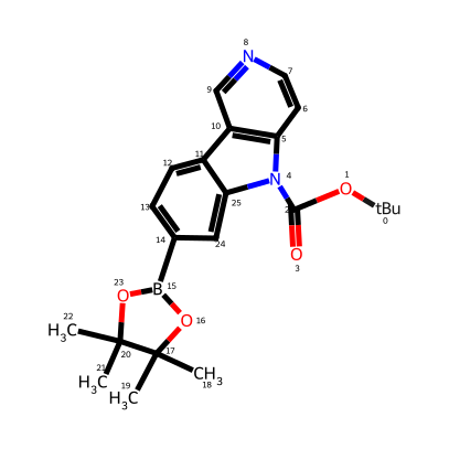 CC(C)(C)OC(=O)n1c2ccncc2c2ccc(B3OC(C)(C)C(C)(C)O3)cc21